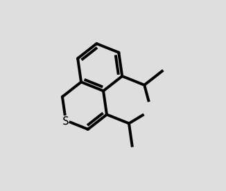 CC(C)C1=CSCc2cccc(C(C)C)c21